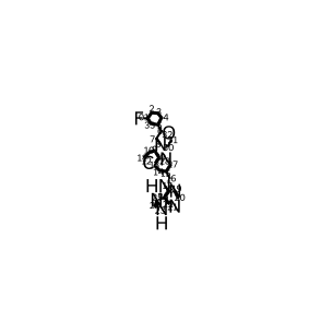 Fc1cccc(C2CN(c3cccc4cc(CNc5ncnc6[nH]cnc56)cnc34)CCO2)c1